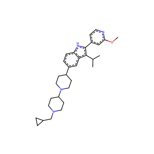 COc1cc(-c2[nH]c3ccc(C4CCN(C5CCN(CC6CC6)CC5)CC4)cc3c2C(C)C)ccn1